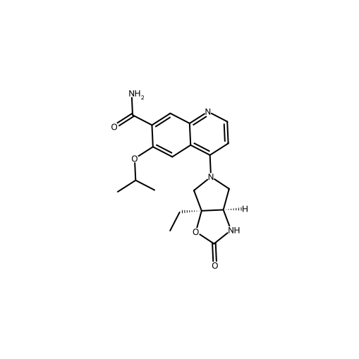 CC[C@]12CN(c3ccnc4cc(C(N)=O)c(OC(C)C)cc34)C[C@H]1NC(=O)O2